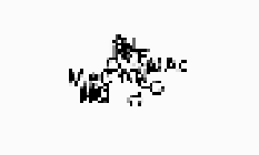 COc1ccc(-n2nnnc2C(F)(F)F)cc1CN1CC2CC(OC(C)=O)CN2C(C(c2ccccc2)c2ccccc2)C1.Cl.Cl